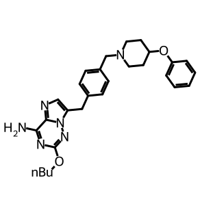 CCCCOc1nc(N)c2ncc(Cc3ccc(CN4CCC(Oc5ccccc5)CC4)cc3)n2n1